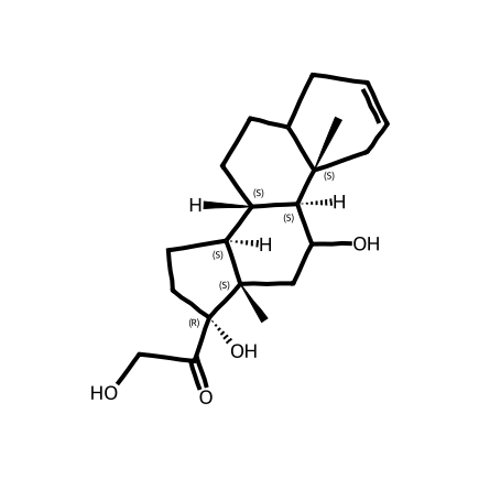 C[C@]12CC=CCC1CC[C@@H]1[C@@H]2C(O)C[C@@]2(C)[C@H]1CC[C@]2(O)C(=O)CO